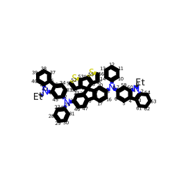 CCn1c2c(c3ccc(N(c4ccccc4)c4ccc5c(c4)C4(c6cc(N(c7ccccc7)c7ccc8c9ccccc9n(CC)c8c7)ccc6-5)c5ccsc5-c5sccc54)cc31)CCCC2